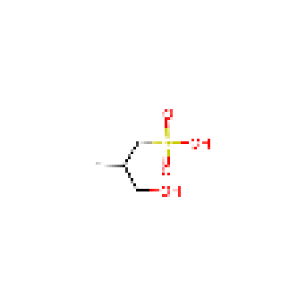 CC(CO)CS(=O)(=O)O